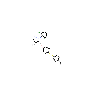 CCS(C)(c1ccc(CC(=O)O)cc1)c1ccc(OCc2c(C(C)C)cnn2-c2c(Cl)cccc2Cl)cc1C